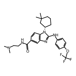 CN(C)CCNC(=O)c1ccc2c(c1)nc(Nc1ccc(OC(F)(F)F)cc1)n2[C@H]1CCCC(C)(C)C1